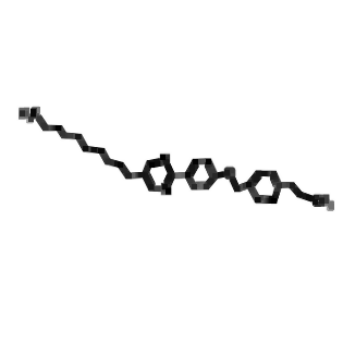 CCCCCCCCCCc1cnc(-c2ccc(OCc3ccc(CCC)cc3)cc2)nc1